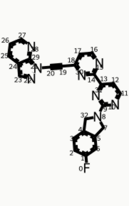 Fc1ccc2c(c1)CN(c1nccc(-c3nccc(C#Cn4ncc5cccnc54)n3)n1)C2